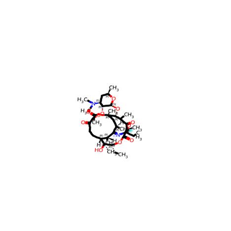 CCC(=O)/N=C1\[C@H](C)C[C@@]2(C)OCC(=O)CC[C@H]([C@H]1C)[C@](C)(O)[C@@H](CC)OC(=O)[C@@](C)(F)C(=O)C(C)[C@H]2O[C@@H]1O[C@H](C)C[C@H](N(C)C)[C@H]1OC(C)=O